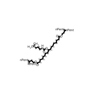 CCCCCC(CCCCC)CCOC(=O)CCCCCCCC(CCCCCCCC(=O)OCCC(CCCCC)CCCCC)OC(=O)NCCCN(C)C